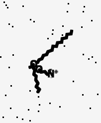 CCCCCCCCCCCCCCCCOC(C)C(CCCCCCC)OCCC[N+](C)(C)C